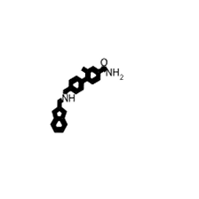 Cc1cc(C(N)=O)ccc1-c1ccc(CNCC2Cc3ccccc3C2)cc1